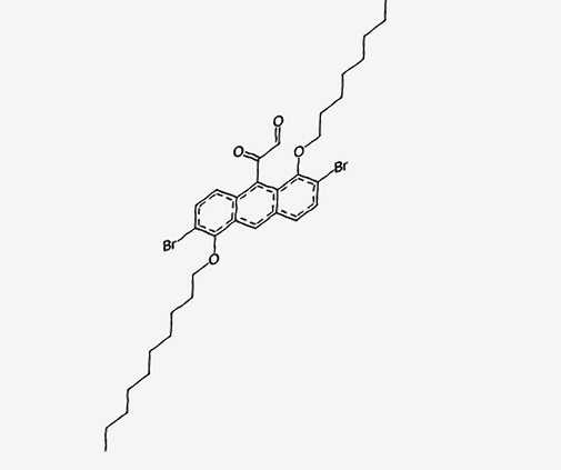 CCCCCCCCCCOc1c(Br)ccc2c(C(=O)C=O)c3c(OCCCCCCCCCC)c(Br)ccc3cc12